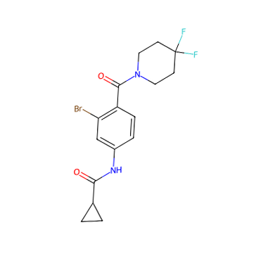 O=C(Nc1ccc(C(=O)N2CCC(F)(F)CC2)c(Br)c1)C1CC1